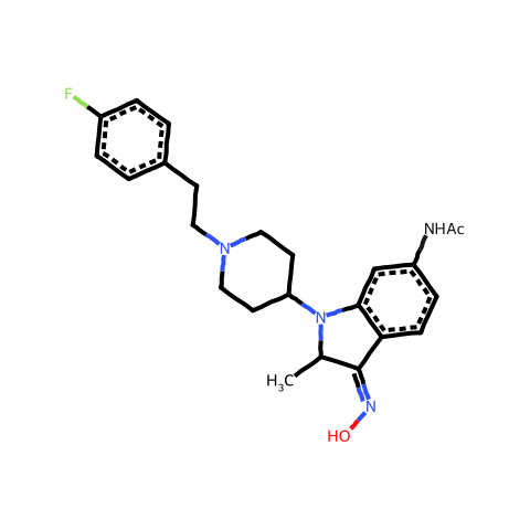 CC(=O)Nc1ccc2c(c1)N(C1CCN(CCc3ccc(F)cc3)CC1)C(C)C2=NO